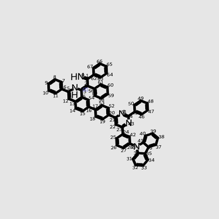 N=C(/C(=C1\NC(c2ccccc2)=Cc2ccc(-c3ccc(-c4cc(-c5cccc(-n6c7ccccc7c7ccccc76)c5)nc(-c5ccccc5)n4)cc3)cc21)c1ccccc1)c1ccccc1